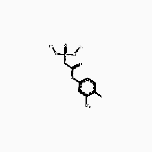 CC(C)OP(=O)(CC(=O)Oc1ccc(F)c(C(F)(F)F)c1)OC(C)C